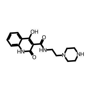 O=C(NCCN1CCNCC1)c1c(O)c2ccccc2[nH]c1=O